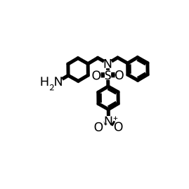 NC1CCC(CN(Cc2ccccc2)S(=O)(=O)c2ccc([N+](=O)[O-])cc2)CC1